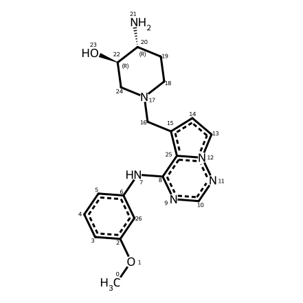 COc1cccc(Nc2ncnn3ccc(CN4CC[C@@H](N)[C@H](O)C4)c23)c1